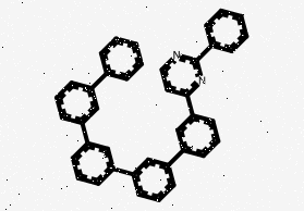 c1ccc(-c2cccc(-c3cccc(-c4cccc(-c5cccc(-c6ccnc(-c7ccccc7)n6)c5)c4)c3)c2)cc1